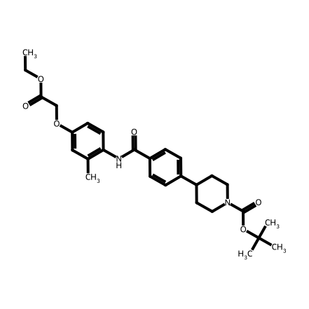 CCOC(=O)COc1ccc(NC(=O)c2ccc(C3CCN(C(=O)OC(C)(C)C)CC3)cc2)c(C)c1